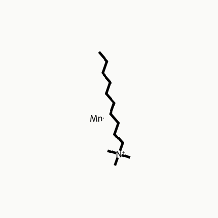 CCCCCCCCCC[N+](C)(C)C.[Mn]